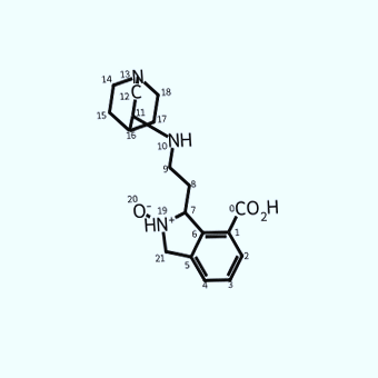 O=C(O)c1cccc2c1C(CCNC1CN3CCC1CC3)[NH+]([O-])C2